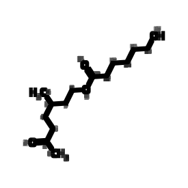 CC(=O)CCC(C)CCOC(=O)CCCCCO